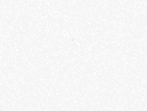 CC(C)(C)C#Cc1cnc2c(c1)[C@@]1(COC(N)=N1)c1cc(-c3cncnc3)c(F)cc1O2